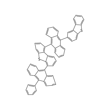 c1ccc(-c2c3ccccc3c(-c3cccc4c3sc3cccc(-c5c6ccccc6c(-c6ccc7sc8ccccc8c7c6)c6ccccc56)c34)c3ccccc23)cc1